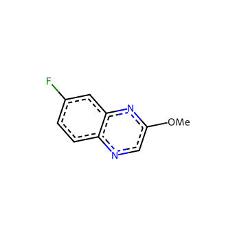 COc1cnc2ccc(F)cc2n1